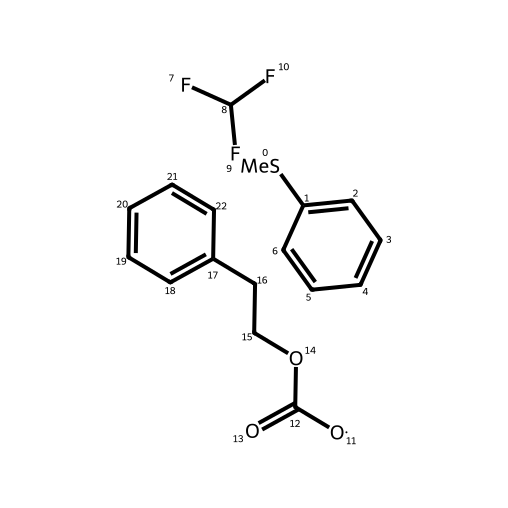 CSc1ccccc1.FC(F)F.[O]C(=O)OCCc1ccccc1